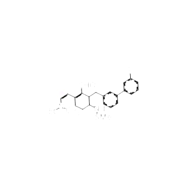 CCN(C)/C=C\C1=C(C=O)C(Cc2cccc(-c3cccc(F)c3)c2)C(NSC)CC1